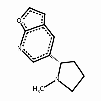 CN1CCC[C@H]1c1cnc2occc2c1